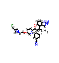 CC1=C(c2ccc(C#N)cc2)C(c2ccc(OCCN3CC(CF)C3)cn2)Oc2ccc3[nH]ncc3c21